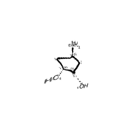 N[C@@H]1C[C@@H](O)[C@@H](O)C1